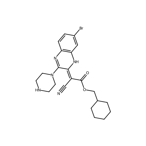 N#CC(C(=O)OCC1CCCCC1)=C1Nc2cc(Br)ccc2N=C1N1CCNCC1